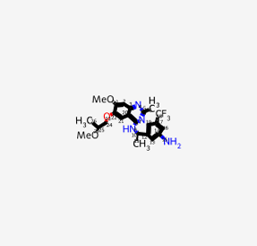 COc1cc2nc(C)nc(N[C@H](C)c3cc(N)cc(C(F)(F)F)c3)c2cc1OC[C@H](C)OC